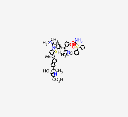 CC(CN1c2ccccc2Sc2ccccc21)N(C)C.CC[C@@H](c1cccc(O)c1)[C@@H](C)CN(C)C.COc1ccc2cc([C@H](C)C(=O)O)ccc2c1.NC(=O)C[S+]([O-])C(c1ccccc1)c1ccccc1.O=C(O)c1cccnc1